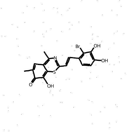 Cc1nc(/C=C/c2ccc(O)c(O)c2Br)sc2c(O)c(=O)c(C)cc1-2